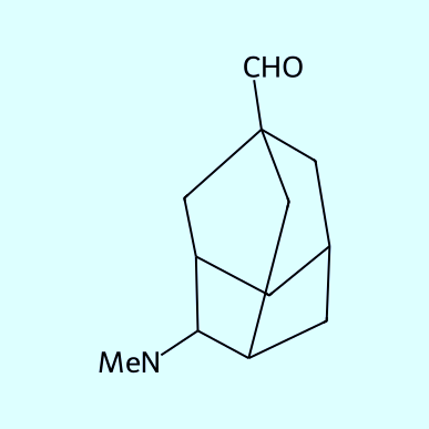 CNC1C2CC3CC1CC(C=O)(C3)C2